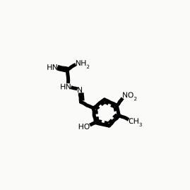 Cc1cc(O)c(C=NNC(=N)N)cc1[N+](=O)[O-]